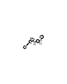 Clc1cc(Nc2ncnc3cc(C#CN4CCCC4)sc23)ccc1Oc1ccccn1